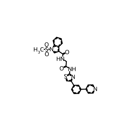 CS(=O)(=O)n1cc(C(=O)NCC(=O)Nc2nc(-c3cccc(-c4ccncc4)c3)cs2)c2ccccc21